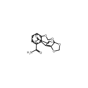 NC(=O)C1=CCC23OCOC2=C1c1c(cccc1C(N)=O)OCO3